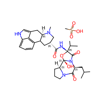 CC(C)C[C@H]1C(=O)N2CCC[C@H]2[C@]2(O)O[C@](NC(=O)[C@@H]3CC4c5cccc6[nH]cc(c56)C[C@H]4N(C)C3)(C(C)C)C(=O)N12.CS(=O)(=O)O